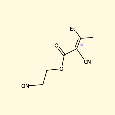 CC/C(C)=C(/C#N)C(=O)OCCN=O